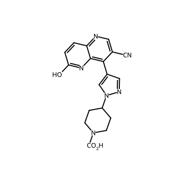 N#Cc1cnc2ccc(O)nc2c1-c1cnn(C2CCN(C(=O)O)CC2)c1